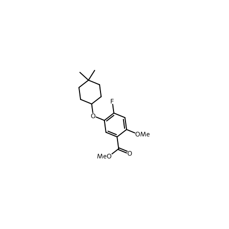 COC(=O)c1cc(OC2CCC(C)(C)CC2)c(F)cc1OC